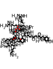 CC[C@H](C)[C@H](NC(=O)[C@H](CCCNC(=N)N)NC(=O)[C@H](CCCNC(=N)N)NC(=O)[C@H](CC(C)C)NC(=O)[C@H](Cc1ccccc1)NC(=O)CNC(=O)CNC(=O)[C@@H](N)Cc1ccc(O)cc1)C(=O)N[C@@H](CCCNC(=N)N)C(=O)N1CCC[C@H]1C(=O)N[C@@H](CCCCN)C(=O)N[C@@H](CC(C)C)C(=O)NC(CCCCN)C(=O)O